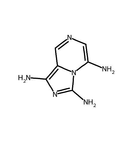 Nc1nc(N)n2c(N)cncc12